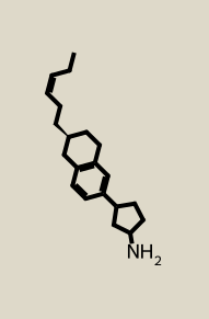 CC/C=C\CC[C@H]1CCc2cc(C3CCC(N)C3)ccc2C1